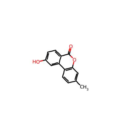 Cc1ccc2c(c1)oc(=O)c1ccc(O)cc12